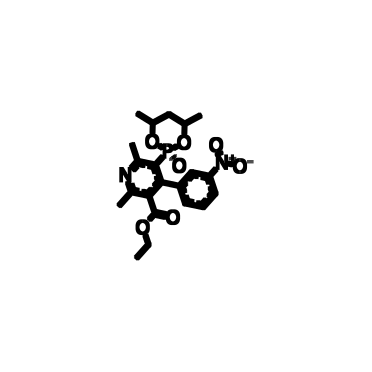 CCOC(=O)c1c(C)nc(C)c(P2(=O)OC(C)CC(C)O2)c1-c1cccc([N+](=O)[O-])c1